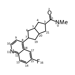 CNC(=O)C1CC2CC(c3ccnc4ccc(F)cc34)CC2C1